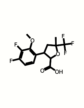 COc1c(C2CC(C)(C(F)(F)F)OC2C(=O)O)ccc(F)c1F